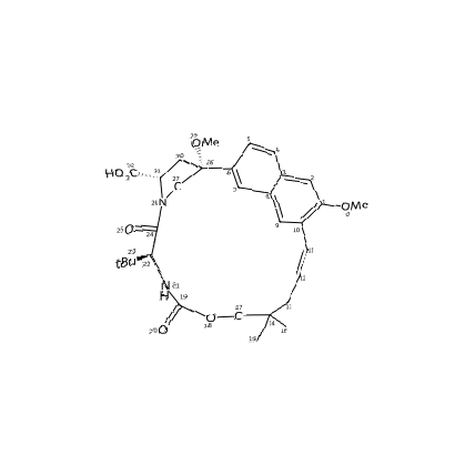 COc1cc2ccc3cc2cc1/C=C\CC(C)(C)COC(=O)N[C@@H](C(C)(C)C)C(=O)N1C[C@@]3(OC)C[C@H]1C(=O)O